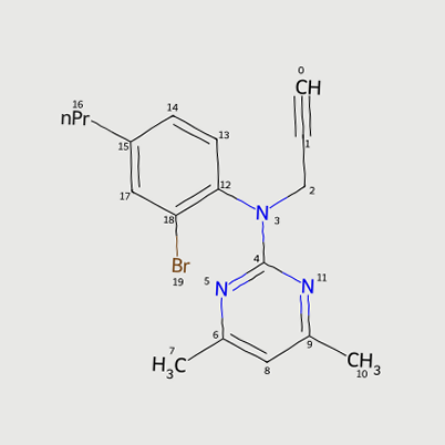 C#CCN(c1nc(C)cc(C)n1)c1ccc(CCC)cc1Br